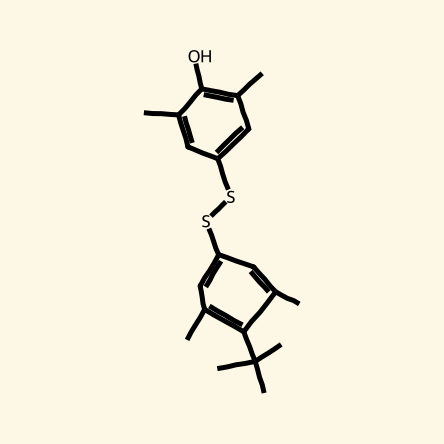 Cc1cc(SSc2cc(C)c(C(C)(C)C)c(C)c2)cc(C)c1O